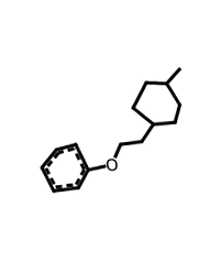 CC1CCC(CCOc2ccccc2)CC1